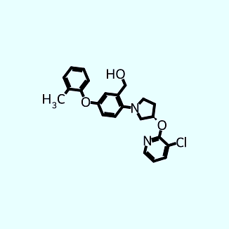 Cc1ccccc1Oc1ccc(N2CC[C@H](Oc3ncccc3Cl)C2)c(CO)c1